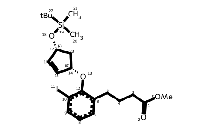 COC(=O)CCCc1cccc(I)c1O[C@@H]1C=C[C@H](O[Si](C)(C)C(C)(C)C)C1